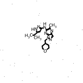 Cc1nc2cnn(CC3CCOCC3)c2nc1Nc1cc(C(C)C)[nH]n1